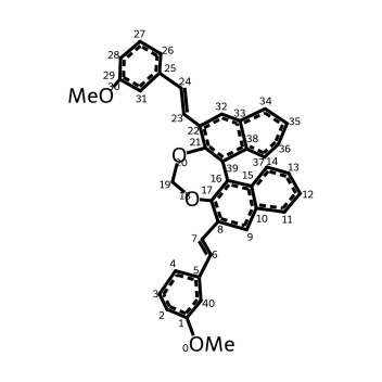 COc1cccc(/C=C/c2cc3ccccc3c3c2OCOc2c(/C=C/c4cccc(OC)c4)cc4ccccc4c2-3)c1